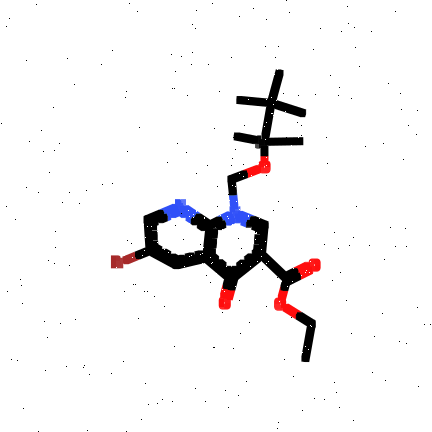 CCOC(=O)c1cn(CO[Si](C)(C)C(C)(C)C)c2ncc(Br)cc2c1=O